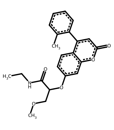 CCNC(=O)C(COC)Oc1ccc2c(-c3ccccc3C)cc(=O)oc2c1